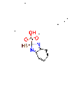 O=S(=O)(O)C1(S)N=c2ccccc2=N1